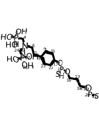 O[PH](O)(O)CN(CCc1ccc(O[PH](=S)OCCCOP=S)cc1)C[PH](O)(O)O